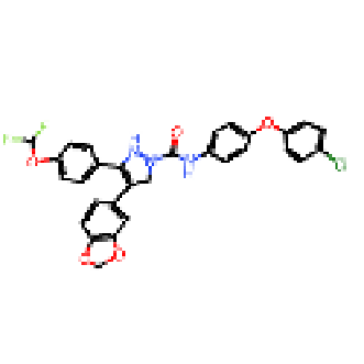 O=C(Nc1ccc(Oc2ccc(Cl)cc2)cc1)N1CC(c2ccc3c(c2)OCO3)=C(c2ccc(OC(F)F)cc2)N1